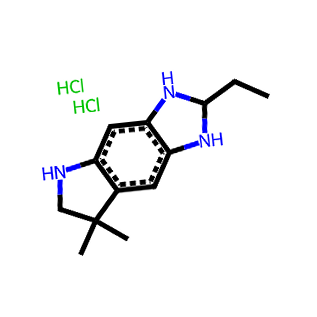 CCC1Nc2cc3c(cc2N1)C(C)(C)CN3.Cl.Cl